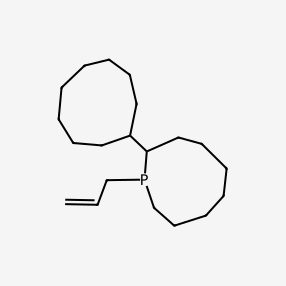 C=CCP1CCCCCCCC1C1CCCCCCCC1